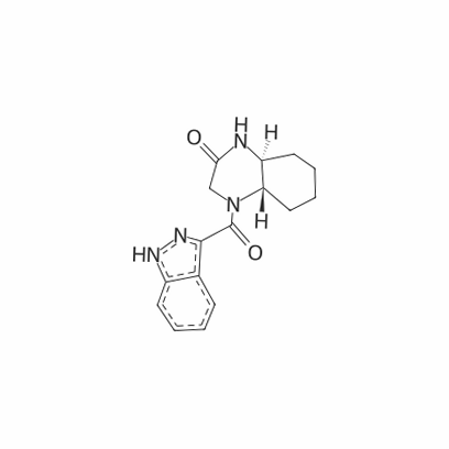 O=C1CN(C(=O)c2n[nH]c3ccccc23)[C@H]2CCCC[C@@H]2N1